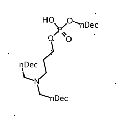 CCCCCCCCCCCN(CCCCCCCCCCC)CCCOP(=O)(O)OCCCCCCCCCC